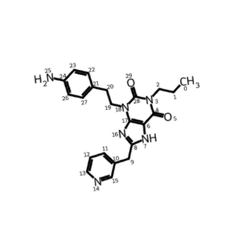 CCCn1c(=O)c2[nH]c(Cc3cccnc3)nc2n(CCc2ccc(N)cc2)c1=O